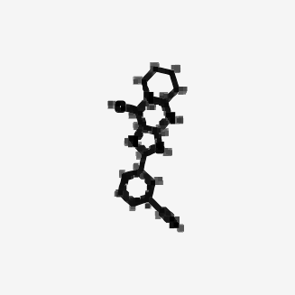 N#Cc1cccc(-c2nc3c(=O)n4c(nc3s2)CCCC4)c1